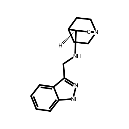 c1ccc2c(CN[C@@H]3CN4CCC3CC4)n[nH]c2c1